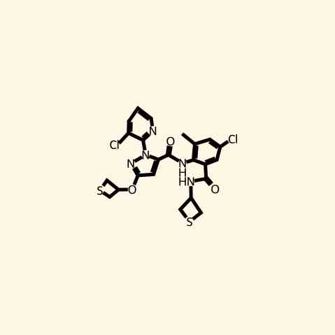 Cc1cc(Cl)cc(C(=O)NC2CSC2)c1NC(=O)c1cc(OC2CSC2)nn1-c1ncccc1Cl